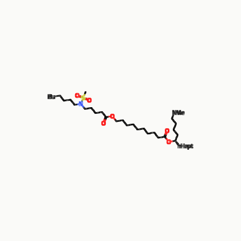 CCCCCCC[C@H](CCCCNC)OC(=O)CCCCCCCCCOC(=O)CCCCN(CCCCC(C)CC)S(C)(=O)=O